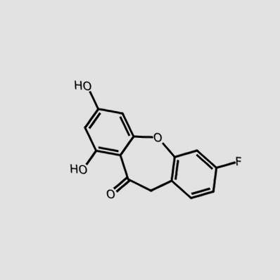 O=C1Cc2ccc(F)cc2Oc2cc(O)cc(O)c21